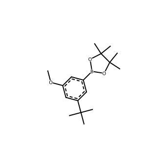 COc1cc(B2OC(C)(C)C(C)(C)O2)cc(C(C)(C)C)c1